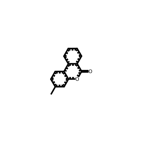 Cc1ccc2c(c1)oc(=O)c1ccccc12